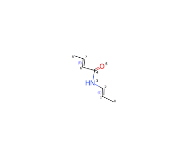 C/C=C/NC(=O)/C=C/C